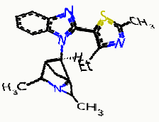 CCc1nc(C)sc1-c1nc2ccccc2n1[C@@H]1C2CC13C(C)N3C2C